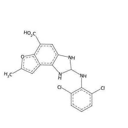 Cc1cc2c3c(cc(C(=O)O)c2o1)NC(Nc1c(Cl)cccc1Cl)N3